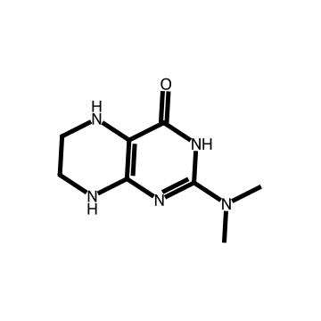 CN(C)c1nc2c(c(=O)[nH]1)NCCN2